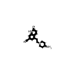 N#Cc1cc(CCN2CCC(N)CC2)c2ccc(=O)[nH]c2c1